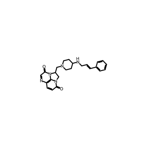 O=c1ccc2ncc(=O)n3c2n1CC3CN1CCC(NCC=Cc2ccccc2)CC1